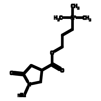 CCCCN1CC(C(=O)OCCC[N+](C)(C)C)CC1=O